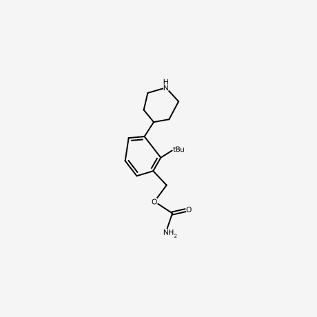 CC(C)(C)c1c(COC(N)=O)cccc1C1CCNCC1